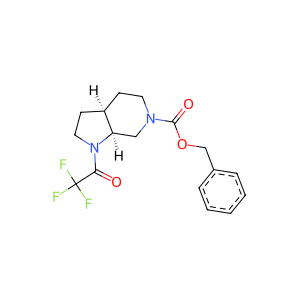 O=C(OCc1ccccc1)N1CC[C@@H]2CCN(C(=O)C(F)(F)F)[C@@H]2C1